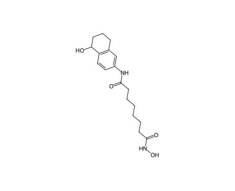 O=C(CCCCCCC(=O)Nc1ccc2c(c1)CCCC2O)NO